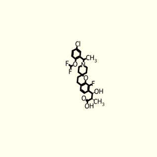 CC(c1cc(Cl)ccc1OC(F)F)N1CCC2(CCc3ccc([C@H](O)[C@H](C)C(=O)O)c(F)c3O2)CC1